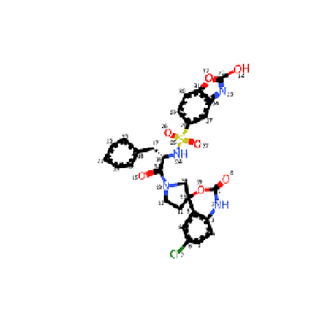 O=C1Nc2ccc(Cl)cc2C2(CCN(C(=O)[C@H](Cc3ccccc3)NS(=O)(=O)c3ccc4oc(O)nc4c3)C2)O1